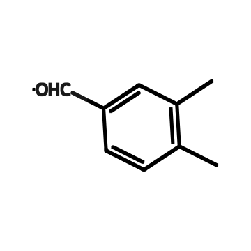 Cc1ccc([C]=O)cc1C